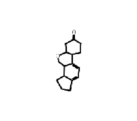 O=C1CCC2C3=CC=C4CCCC4C3COC2C1